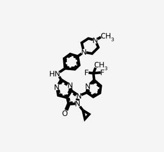 CN1CCN(c2ccc(Nc3ncc4c(=O)n(C5CC5)n(-c5cccc(C(C)(F)F)n5)c4n3)cc2)CC1